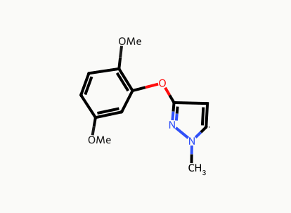 COc1ccc(OC)c(Oc2c[c]n(C)n2)c1